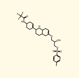 Cc1ccc(S(=O)(=O)OCC(O)COC2=CCC3NC(C4=CCC(NC(=O)C(F)(F)F)CC4)CCC3C2)cc1